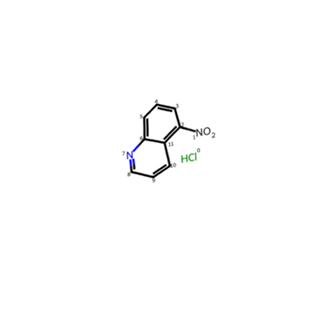 Cl.O=[N+]([O-])c1cccc2ncccc12